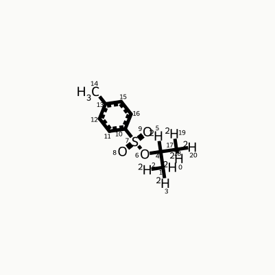 [2H]C([2H])([2H])C([2H])(OS(=O)(=O)c1ccc(C)cc1)C([2H])([2H])[2H]